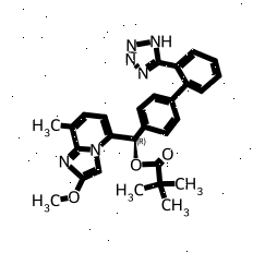 COc1cn2c([C@H](OC(=O)C(C)(C)C)c3ccc(-c4ccccc4-c4nnn[nH]4)cc3)ccc(C)c2n1